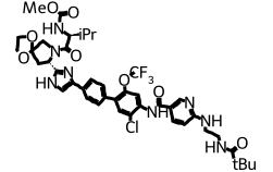 COC(=O)N[C@H](C(=O)N1CC2(C[C@H]1c1nc(-c3ccc(-c4cc(Cl)c(NC(=O)c5ccc(NCCNC(=O)C(C)(C)C)nc5)cc4OC(F)(F)F)cc3)c[nH]1)OCCO2)C(C)C